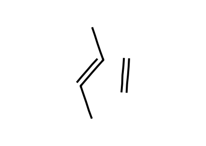 C/C=C/C.C=C